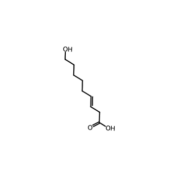 O=C(O)CC=CCCCCCO